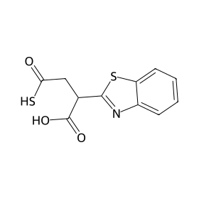 O=C(S)CC(C(=O)O)c1nc2ccccc2s1